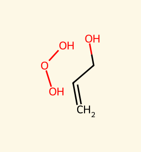 C=CCO.OOO